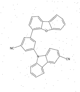 N#Cc1cc(-c2cccc3c2oc2ccccc23)cc(-n2c3ccccc3c3cc(C#N)ccc32)c1